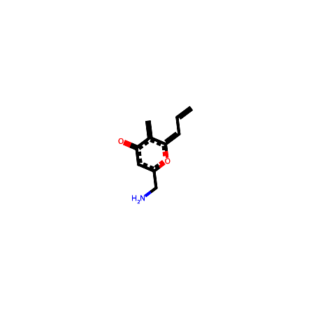 C=C/C=c1/oc(CN)cc(=O)c1=C